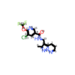 Cc1nn2ncccc2c1CNC(=O)c1cnc(OC(F)F)c(Cl)c1